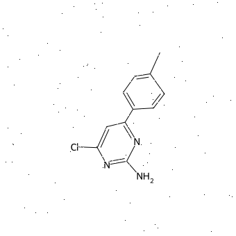 Cc1ccc(-c2cc(Cl)nc(N)n2)cc1